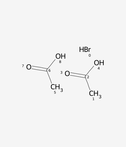 Br.CC(=O)O.CC(=O)O